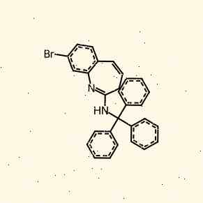 Brc1ccc2c(c1)N=C(NC(c1ccccc1)(c1ccccc1)c1ccccc1)CC=C2